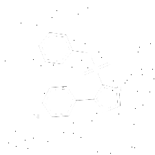 N.O=S(=O)(Oc1ccccc1)c1ncoc1-c1ccccc1